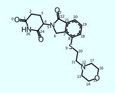 O=C1CCC(N2Cc3c(SCCN4CCOCC4)cccc3C2=O)C(=O)N1